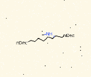 CCCCCCCCCCCCCCCCCCCCCCCCCCCC.CN